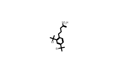 C=C(CCCc1ccc(C(C)(C)CC)cc1C(C)(C)CC)S(=O)(=O)O